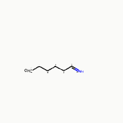 N=CCCCC[C]=O